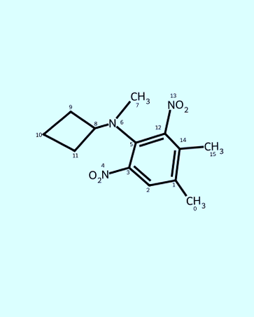 Cc1cc([N+](=O)[O-])c(N(C)C2CCC2)c([N+](=O)[O-])c1C